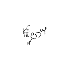 CCc1nnc(NC(=O)C(C#N)=Cc2ccc(OC(F)F)cc2)s1